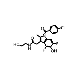 Cc1c(CC(=O)NCCO)c2c(F)c(O)c(F)cc2n1C(=O)c1ccc(Cl)cc1